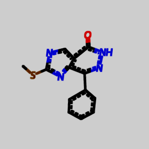 CSc1ncc2c(=O)[nH]nc(-c3ccccc3)c2n1